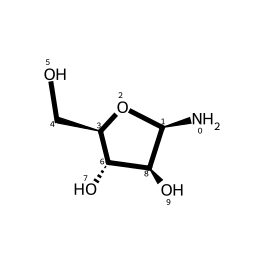 N[C@@H]1O[C@H](CO)[C@@H](O)[C@@H]1O